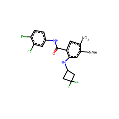 CNc1cc(NC2CC(F)(F)C2)c(C(=O)Nc2ccc(F)c(Cl)c2)cc1[N+](=O)[O-]